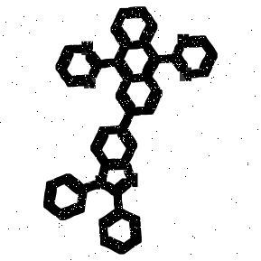 c1ccc(-c2nc3cc(-c4ccc5c(-c6ncccn6)c6ccccc6c(-c6ncccn6)c5c4)ccc3n2-c2ccccc2)cc1